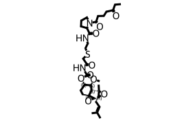 CCC(=O)CCCC(=O)N1CCCC1C(=O)NCCSCC(=O)NC(=O)O[C@@H]1CC[C@]2(CO2)[C@@H](C2(C)O[C@@H]2CC=C(C)C)[C@@H]1OC